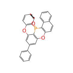 O=P12c3c(cc(-c4ccccc4)cc3Oc3ccc4ccccc4c31)Oc1ccc3ccccc3c12